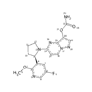 COc1ncc(F)cc1[C@H]1CCCN1c1ccn2ncc(OC(N)=O)c2n1